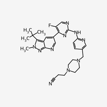 Cn1nc2ncc(-c3nc(Nc4ccc(CN5CCN(CCC#N)CC5)cn4)ncc3F)cc2c1C(C)(C)C